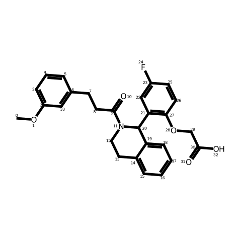 COc1cccc(CCC(=O)N2CCc3ccccc3C2c2cc(F)ccc2OCC(=O)O)c1